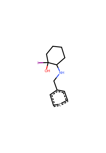 OC1(I)CCCCC1NCc1ccccc1